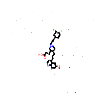 COc1ccc2nccc(CCCC3CCN(CC#Cc4ccc(Cl)c(Cl)c4)CC3CCC(=O)O)c2c1